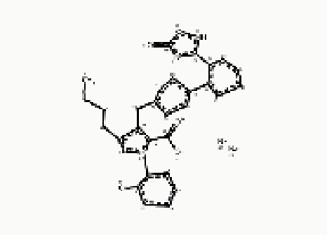 CCCCc1nn(-c2ccccc2Cl)c(C(=O)O)c1Cc1ccc(-c2ccccc2-c2nc(=O)o[nH]2)cc1.[Na].[Na]